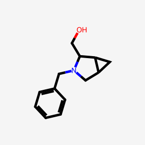 OCC1C2CC2CN1Cc1ccccc1